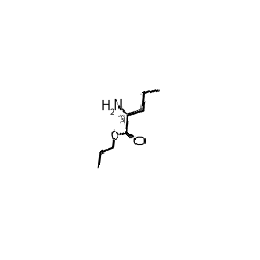 CCCOC(=O)[C@@H](N)CCC